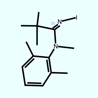 Cc1cccc(C)c1N(C)/C(=N\I)C(C)(C)C